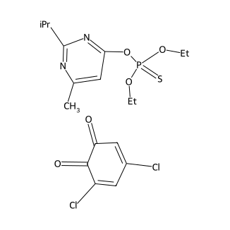 CCOP(=S)(OCC)Oc1cc(C)nc(C(C)C)n1.O=C1C=C(Cl)C=C(Cl)C1=O